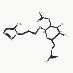 CC(=O)OCC1O[C@@H](OCCCn2nncc2C)C(OC(C)=O)[C@@H](C)[C@H]1C